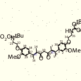 COc1cc(/C(C)=C(\C)C(=O)CC(=O)/C(C)=C(\C)c2ccc(OCCN(C(=O)O)C(C)(C)C)c(OC)c2)ccc1OCCNC(=O)OC(C)(C)C